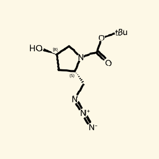 CC(C)(C)OC(=O)N1C[C@H](O)C[C@H]1CN=[N+]=[N-]